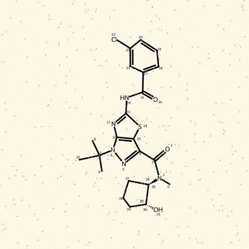 CN(C(=O)c1nn(C(C)(C)C)c2nc(NC(=O)c3cccc(Cl)c3)sc12)[C@@H]1CCC[C@H]1O